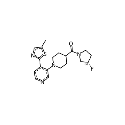 Cc1cnc(-c2ccncc2N2CCC(C(=O)N3CC[C@H](F)C3)CC2)s1